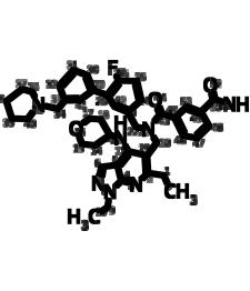 CCc1nc2c(cnn2CC)c(NC2CCOCC2)c1CN(Cc1ccc(F)c(-c2cccc(CN3CCCCC3)c2)c1)C(=O)c1cccc(C(N)=O)c1